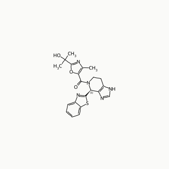 Cc1nc(C(C)(C)O)oc1C(=O)N1CCc2[nH]cnc2[C@H]1c1nc2ccccc2s1